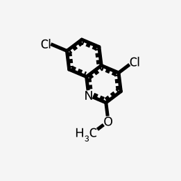 COc1cc(Cl)c2ccc(Cl)cc2n1